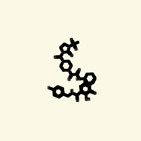 CS(=O)(=O)N1CCN(C(=O)N2CCN(C(=O)C(=O)NC34CCC(CC3)Cn3c4nc(C(=O)NCc4ccc(F)cc4)c(O)c3=O)CC2)C1=O